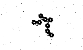 c1ccc2c(c1)oc1ccc(-c3ccc(-n4c5ccccc5c5cc6c7ccccc7n(-c7ccc8oc9ccccc9c8c7)c6cc54)cc3)cc12